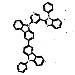 c1ccc(-n2c(-c3cncc(-n4c5ccccc5c5cc(-c6ccc7c(c6)c6ccccc6n7-c6ccccc6)ccc54)c3)nc3ccccc32)cc1